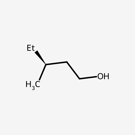 [CH2]C[C@H](C)CCO